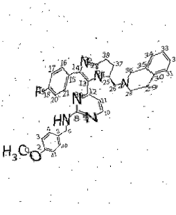 COc1ccc(CNc2nccc(-c3c(-c4ccc(F)cc4)nc4n3[C@H](CN3CCc5ccccc5C3)CC4)n2)cc1